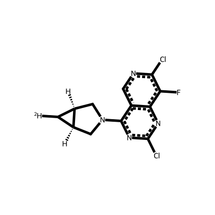 [2H]C1[C@H]2CN(c3nc(Cl)nc4c(F)c(Cl)ncc34)C[C@@H]12